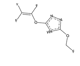 FCOc1nnc(OC(F)=C(F)F)[nH]1